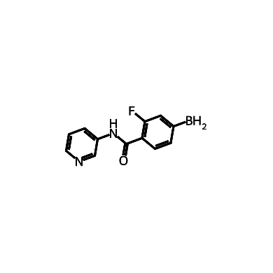 Bc1ccc(C(=O)Nc2cccnc2)c(F)c1